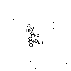 Cl.N[C@H]1CCN(c2c3c(nc4ccc(-c5ccnc(NC(=O)C6CCCC6)c5)cc24)CCCC3)C1